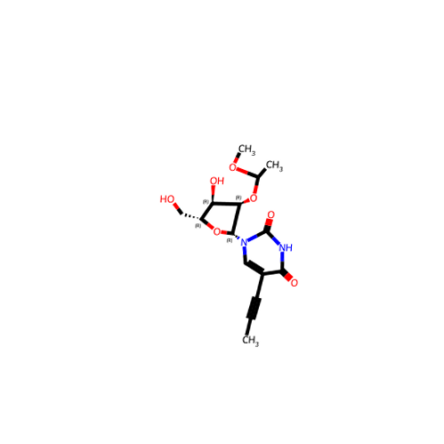 CC#Cc1cn([C@@H]2O[C@H](CO)[C@@H](O)[C@H]2OC(C)OC)c(=O)[nH]c1=O